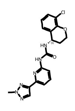 Cn1ncc(-c2cccc(NC(=O)N[C@H]3CCOc4c(Cl)cccc43)n2)n1